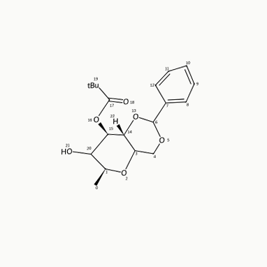 C[C@@H]1OC2COC(c3ccccc3)O[C@H]2[C@H](OC(=O)C(C)(C)C)C1O